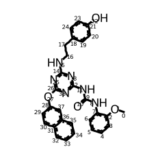 COc1ccccc1NC(=O)Nc1nc(NCCc2ccc(O)cc2)nc(Oc2ccc3ccccc3c2)n1